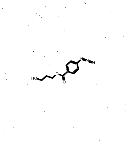 [N-]=[N+]=Nc1ccc(C(=O)OCCCO)cc1